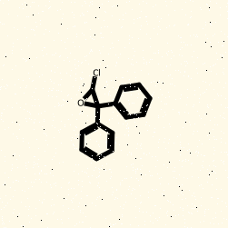 ClC1OC1(c1ccccc1)c1ccccc1